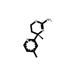 Cc1ccnc([C@]2(C)CCSC(N)=N2)c1